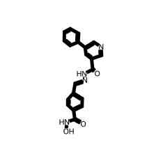 O=C(NO)c1ccc(C=NNC(=O)c2cncc(-c3ccccc3)c2)cc1